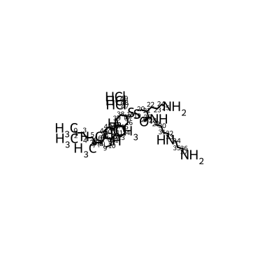 CC(C)CCC[C@@H](C)[C@H]1CC[C@H]2[C@@H]3CC=C4C[C@@H](SSCC(CCCN)C(=O)NCCCCNCCCN)CC[C@]4(C)[C@H]3CC[C@]12C.Cl.Cl.Cl